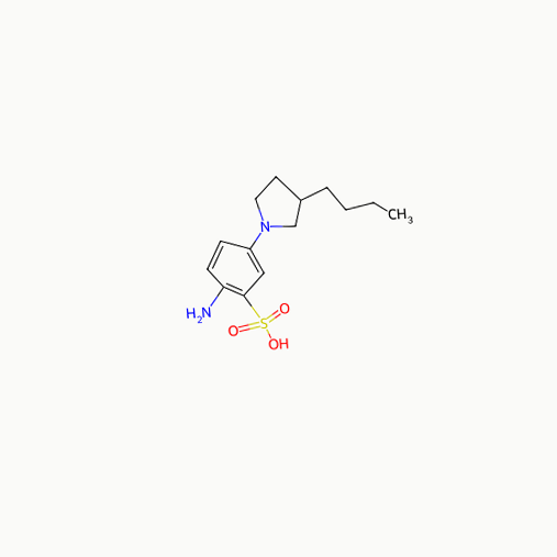 CCCCC1CCN(c2ccc(N)c(S(=O)(=O)O)c2)C1